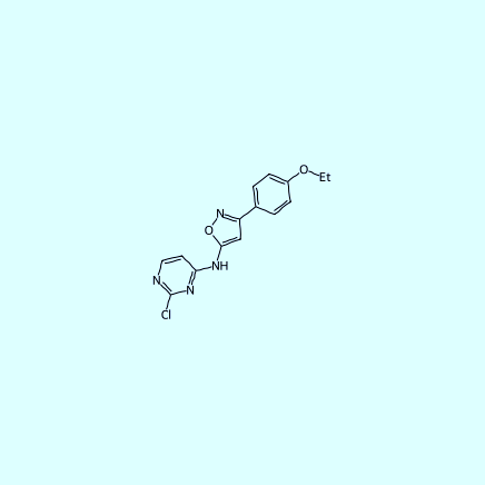 CCOc1ccc(-c2cc(Nc3ccnc(Cl)n3)on2)cc1